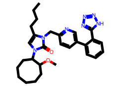 CCCCc1cn(C2CCCCCCC2OC)c(=O)n1Cc1ccc(-c2ccccc2-c2nnn[nH]2)cn1